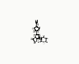 N#Cc1ccc(-c2nc3c(c(N4CCCCC4)n2)CCC3)cc1